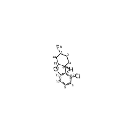 FC1CC[C@@H]2c3c(Cl)cccc3OC2C1